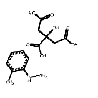 Cc1ccccc1NN.O=C(O)CC(O)(CC(=O)O)C(=O)O